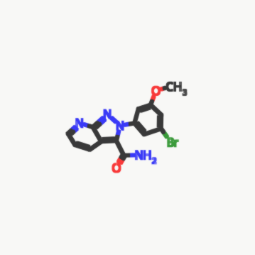 COc1cc(Br)cc(-n2nc3ncccc3c2C(N)=O)c1